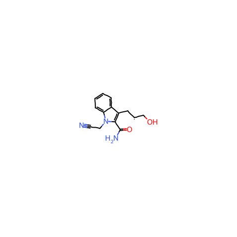 N#CCn1c(C(N)=O)c(C[CH]CO)c2ccccc21